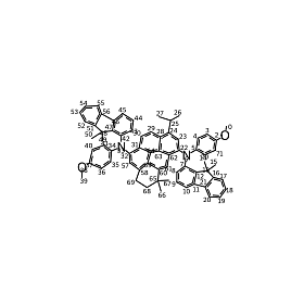 COc1ccc(N(c2cccc3c2C(C)(C)c2ccccc2-3)c2cc(C(C)C)c3ccc4c(N(c5ccc(OC)cc5)c5cccc6c5C(C)(C)c5ccccc5-6)cc5c6c(cc2c3c46)C(C)(C)CC5)cc1